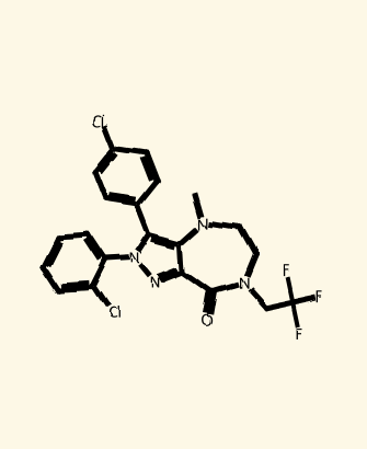 CN1CCN(CC(F)(F)F)C(=O)c2nn(-c3ccccc3Cl)c(-c3ccc(Cl)cc3)c21